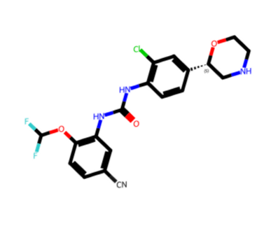 N#Cc1ccc(OC(F)F)c(NC(=O)Nc2ccc([C@H]3CNCCO3)cc2Cl)c1